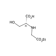 CCOC(=O)CN[C@H](CO)C(=O)O